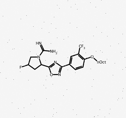 CCCCCCCCOc1ccc(-c2noc(C3CC(F)CN3C(=N)N)n2)cc1C(F)(F)F